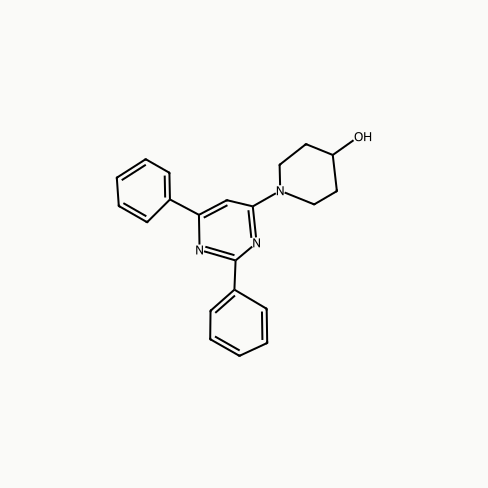 OC1CCN(c2cc(-c3ccccc3)nc(-c3ccccc3)n2)CC1